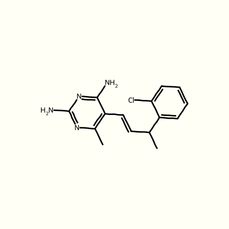 Cc1nc(N)nc(N)c1C=CC(C)c1ccccc1Cl